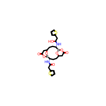 O=C(Cc1cccs1)N[C@H]1CCC2CC(=O)OB(O2)[C@@H](NC(O)Cc2cccs2)CCC2CC(=O)OB1O2